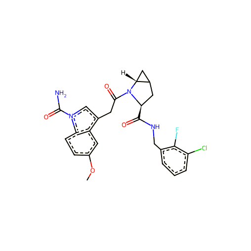 COc1ccc2c(c1)c(CC(=O)N1[C@@H]3CC3C[C@H]1C(=O)NCc1cccc(Cl)c1F)cn2C(N)=O